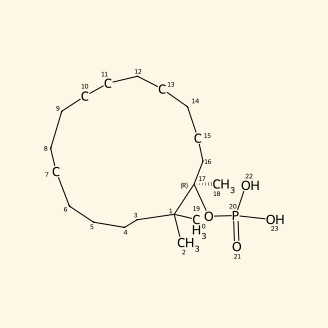 CC1(C)CCCCCCCCCCCCCC[C@@]1(C)OP(=O)(O)O